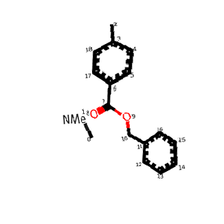 CNC.Cc1ccc(C(=O)OCc2ccccc2)cc1